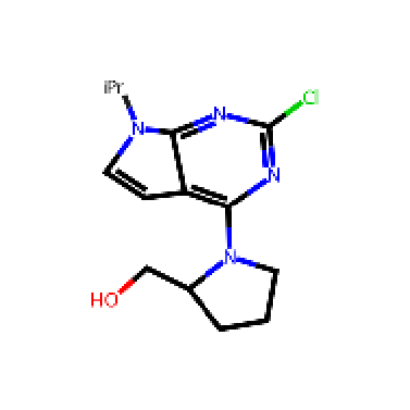 CC(C)n1ccc2c(N3CCCC3CO)nc(Cl)nc21